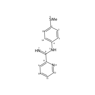 CSc1ccc(NC(=N)c2ccccn2)cc1